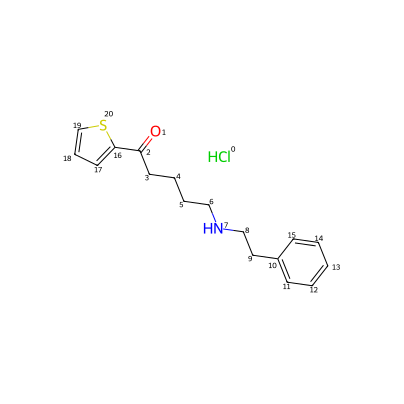 Cl.O=C(CCCCNCCc1ccccc1)c1cccs1